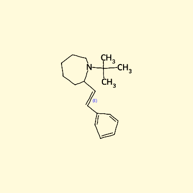 CC(C)(C)N1CCCCCC1/C=C/c1ccccc1